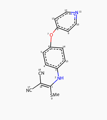 CSC(Nc1ccc(Oc2ccncc2)cc1)=C(C#N)C#N